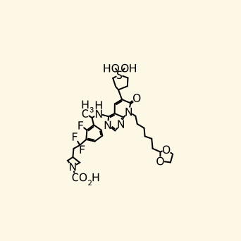 CC(Nc1ncnc2c1cc(C1CCS(O)(O)CC1)c(=O)n2CCCCCCC1OCCO1)c1cccc(C(F)(F)CC2CN(C(=O)O)C2)c1F